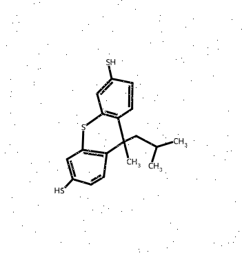 CC(C)CC1(C)c2ccc(S)cc2Sc2cc(S)ccc21